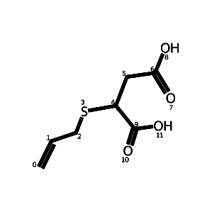 C=CCSC(CC(=O)O)C(=O)O